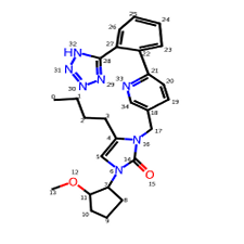 CCCCc1cn(C2CCCC2OC)c(=O)n1Cc1ccc(-c2ccccc2-c2nnn[nH]2)nc1